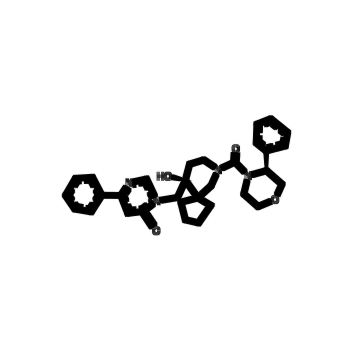 O=C(N1CC[C@@](O)(Cn2cnc(-c3ccccc3)cc2=O)C2(CCCC2)C1)N1CCOC[C@@H]1c1ccccc1